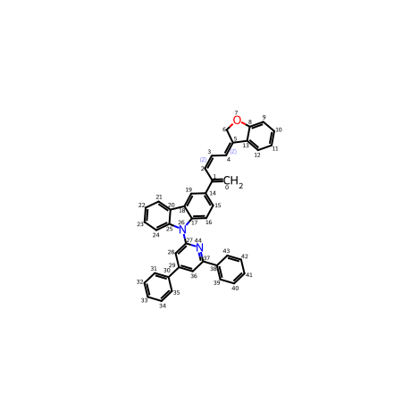 C=C(/C=C\C=C1/COc2ccccc21)c1ccc2c(c1)c1ccccc1n2-c1cc(-c2ccccc2)cc(-c2ccccc2)n1